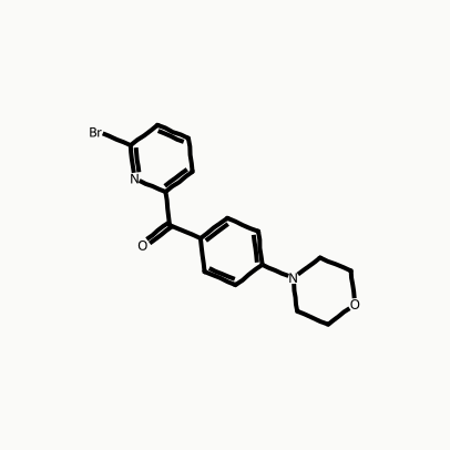 O=C(c1ccc(N2CCOCC2)cc1)c1cccc(Br)n1